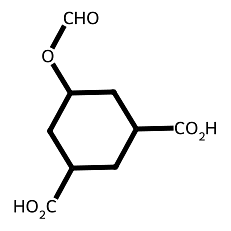 O=COC1CC(C(=O)O)CC(C(=O)O)C1